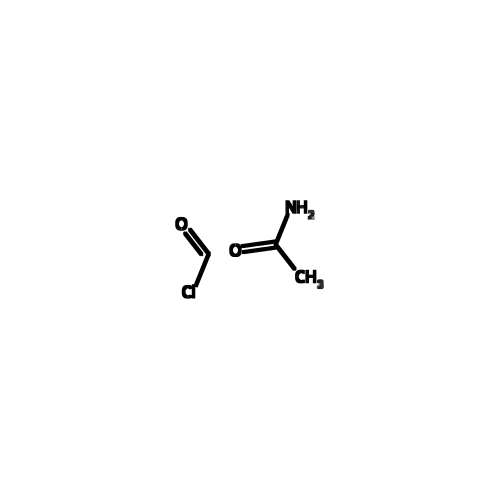 CC(N)=O.O=CCl